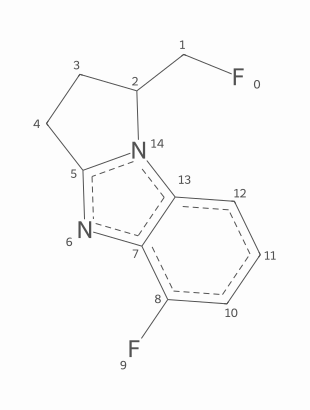 FCC1CCc2nc3c(F)cccc3n21